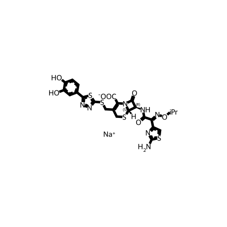 CC(C)ON=C(C(=O)N[C@@H]1C(=O)N2C(C(=O)[O-])=C(CSc3nnc(-c4ccc(O)c(O)c4)s3)CS[C@@H]12)c1csc(N)n1.[Na+]